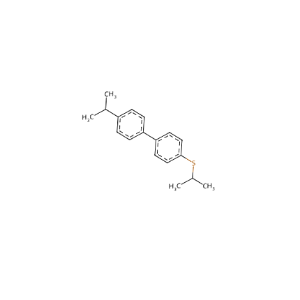 CC(C)Sc1ccc(-c2ccc(C(C)C)cc2)cc1